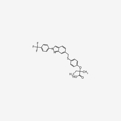 CCC(C)(Oc1ccc(SCc2ccc3cn(-c4ccc(C(F)(F)F)cc4)nc3c2)cc1)C(=O)O